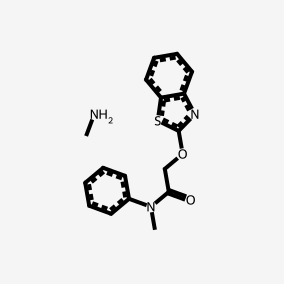 CN.CN(C(=O)COc1nc2ccccc2s1)c1ccccc1